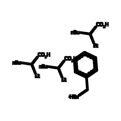 CCCCC(CC)C(=O)O.CCCCC(CC)C(=O)O.CCCCC(CC)C(=O)O.[SnH][CH2]c1ccccc1